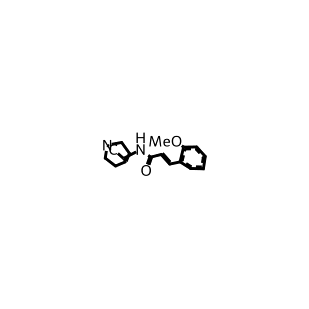 COc1ccccc1/C=C/C(=O)NC1CN2CCC1CC2